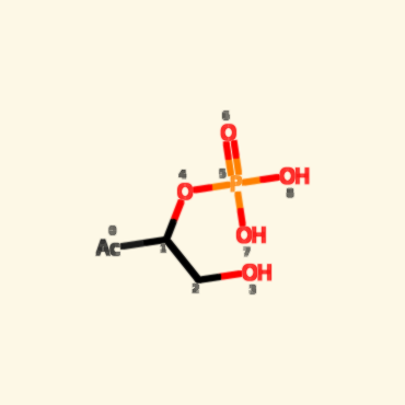 CC(=O)C(CO)OP(=O)(O)O